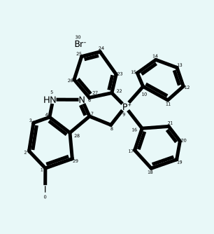 Ic1ccc2[nH]nc(C[P+](c3ccccc3)(c3ccccc3)c3ccccc3)c2c1.[Br-]